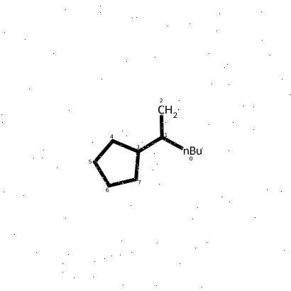 [CH2]CCCC([CH2])C1CCCC1